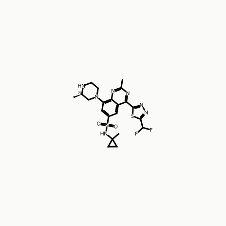 Cc1nc(-c2nnc(C(F)F)s2)c2cc(S(=O)(=O)NC3(C)CC3)cc(N3CCN[C@H](C)C3)c2n1